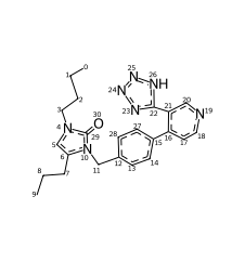 CCCCn1cc(CCC)n(Cc2ccc(-c3ccncc3-c3nnn[nH]3)cc2)c1=O